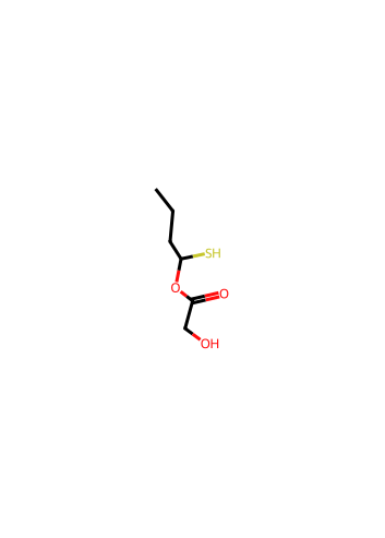 CCCC(S)OC(=O)CO